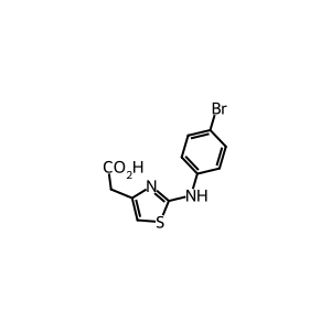 O=C(O)Cc1csc(Nc2ccc(Br)cc2)n1